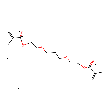 C=C(C)C(=O)OCCOCCCOCCOC(=O)C(=C)C